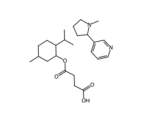 CC1CCC(C(C)C)C(OC(=O)CCC(=O)O)C1.CN1CCCC1c1cccnc1